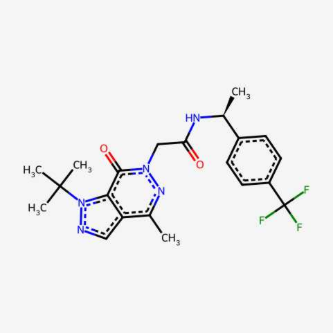 Cc1nn(CC(=O)N[C@@H](C)c2ccc(C(F)(F)F)cc2)c(=O)c2c1cnn2C(C)(C)C